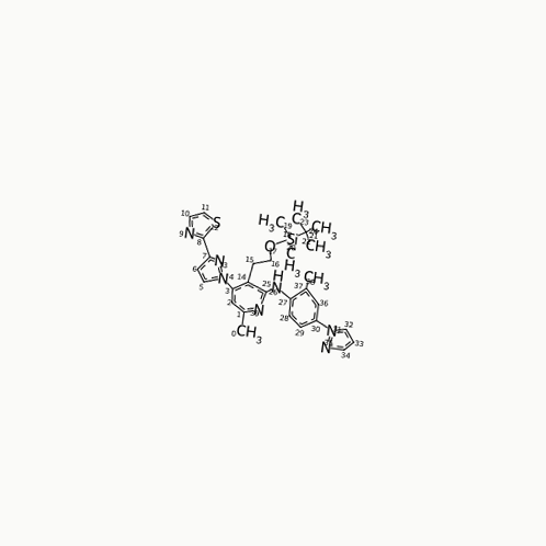 Cc1cc(-n2ccc(-c3nccs3)n2)c(CCO[Si](C)(C)C(C)(C)C)c(Nc2ccc(-n3cccn3)cc2C)n1